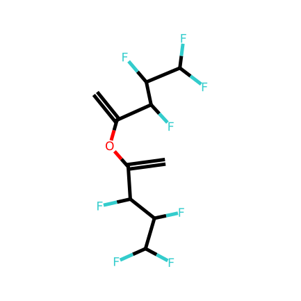 C=C(OC(=C)C(F)C(F)C(F)F)C(F)C(F)C(F)F